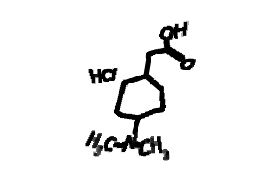 CN(C)C1CCC(CC(=O)O)CC1.Cl